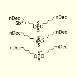 CCCCCCCCCCCCCCCOP(=S)([S-])OCCCCCCCCCCCCCCC.CCCCCCCCCCCCCCCOP(=S)([S-])OCCCCCCCCCCCCCCC.CCCCCCCCCCCCCCCOP(=S)([S-])OCCCCCCCCCCCCCCC.[Sb+3]